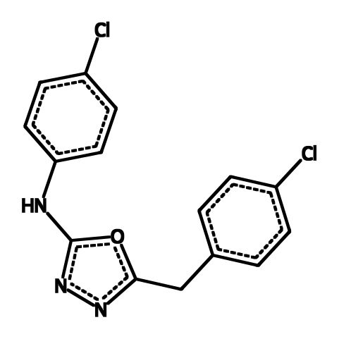 Clc1ccc(Cc2nnc(Nc3ccc(Cl)cc3)o2)cc1